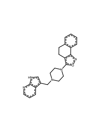 c1ccc2c(c1)CCc1c-2noc1N1CCN(Cc2c[nH]c3ncccc23)CC1